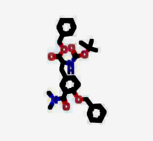 CN(C)C(=O)c1cc(CC(NC(=O)OC(C)(C)C)C(=O)OCc2ccccc2)ccc1OCc1ccccc1